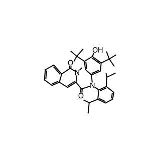 CC(C)c1cccc(C(C)C)c1N(C(=O)c1cc2ccccc2c(=O)n1C)c1cc(C(C)(C)C)c(O)c(C(C)(C)C)c1